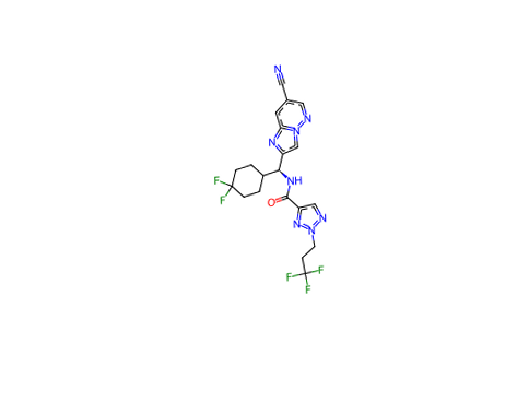 N#Cc1cnn2cc([C@@H](NC(=O)c3cnn(CCC(F)(F)F)n3)C3CCC(F)(F)CC3)nc2c1